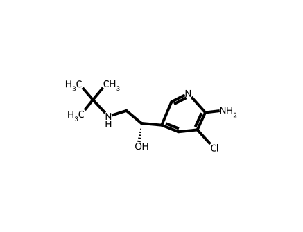 CC(C)(C)NC[C@@H](O)c1cnc(N)c(Cl)c1